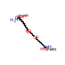 CCCCCC(N)C(O)C/C=C/CCCCCCCC(=O)OCCCCOC(=O)CCCCCCC/C=C/CC(O)C(N)CCCCC